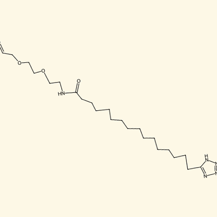 O=CCOCCOCCNC(=O)CCCCCCCCCCCCCCCc1nnn[nH]1